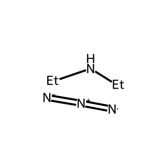 CCNCC.[N]=[N+]=[N-]